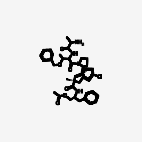 CC(=O)OC[C@H](Cc1ccccc1)NC(=O)[C@@](C)(/C=C/C1CCCN1C(=O)C(NC(=O)C(C)N)C(C)OCc1ccccc1)Cc1cccc(Cl)c1